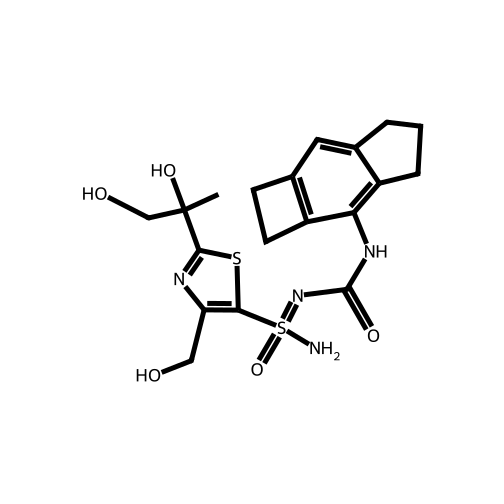 CC(O)(CO)c1nc(CO)c(S(N)(=O)=NC(=O)Nc2c3c(cc4c2CC4)CCC3)s1